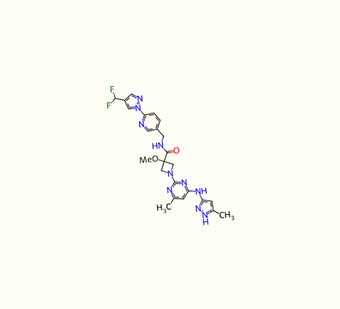 COC1(C(=O)NCc2ccc(-n3cc(C(F)F)cn3)nc2)CN(c2nc(C)cc(Nc3cc(C)[nH]n3)n2)C1